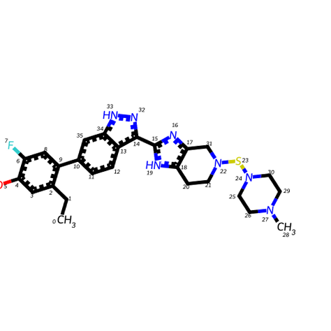 CCc1cc(O)c(F)cc1-c1ccc2c(-c3nc4c([nH]3)CCN(SN3CCN(C)CC3)C4)n[nH]c2c1